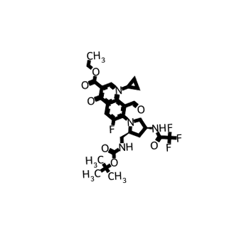 CCOC(=O)c1cn(C2CC2)c2c(C=O)c(N3C[C@@H](NC(=O)C(F)(F)F)C[C@H]3CNC(=O)OC(C)(C)C)c(F)cc2c1=O